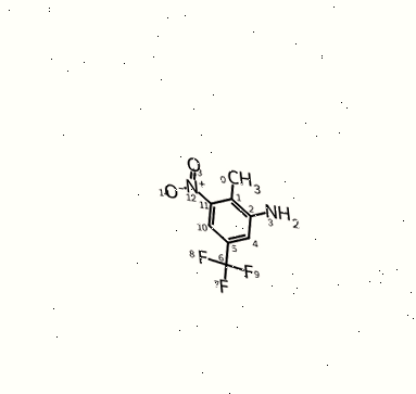 Cc1c(N)cc(C(F)(F)F)cc1[N+](=O)[O-]